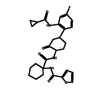 O=C(NC1(C(=O)NC2CCN(c3ccc(F)cc3NC(=O)C3CC3)CC2=O)CCCCC1)c1ccco1